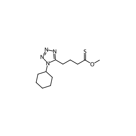 COC(=S)CCCc1nnnn1C1CCCCC1